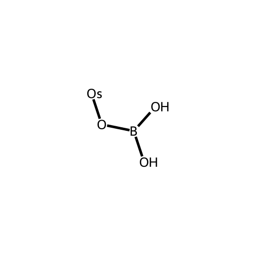 OB(O)[O][Os]